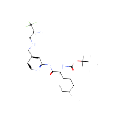 CC(C)(C)OC(=O)N[C@H](C(=O)Nc1cc(CNC[C@H](N)C(F)(F)F)ccn1)[C@H]1CC[C@H](C)CC1